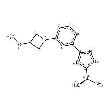 COC1CN(c2cc(-c3noc([C@H](C)N)n3)ccn2)C1